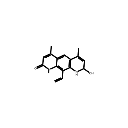 C=Cc1c2c(cc3c(C)cc(=O)[nH]c13)C(C)=CC(O)N2